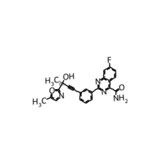 Cc1cnc([C@@](C)(O)C#Cc2cccc(-c3nc(C(N)=O)c4ccc(F)cc4n3)c2)o1